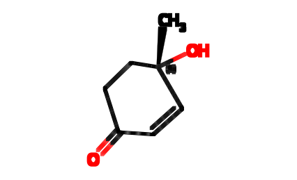 C[C@@]1(O)C=CC(=O)CC1